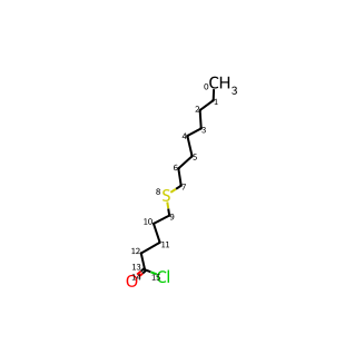 CCCCCCCCSCCCCC(=O)Cl